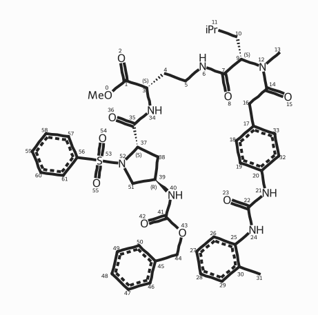 COC(=O)[C@H](CCNC(=O)[C@H](CC(C)C)N(C)C(=O)Cc1ccc(NC(=O)Nc2ccccc2C)cc1)NC(=O)[C@@H]1C[C@@H](NC(=O)OCc2ccccc2)CN1S(=O)(=O)c1ccccc1